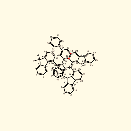 CC1(C)c2ccccc2-c2c(-c3cccc(N(c4cccc5c4sc4ccccc45)c4cccc5c6ccccc6n(-c6ccccc6)c45)c3-c3cccc(-c4ccccc4)c3)cccc21